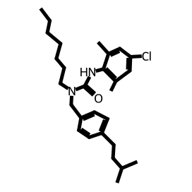 CCCCCCCN(Cc1ccc(CCC(C)C)cc1)C(=O)Nc1c(C)cc(Cl)cc1C